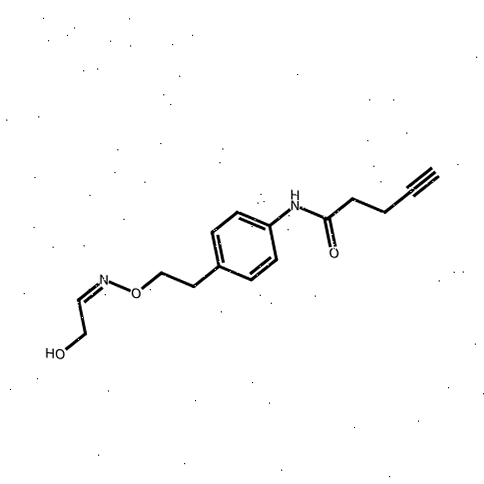 C#CCCC(=O)Nc1ccc(CCO/N=C\CO)cc1